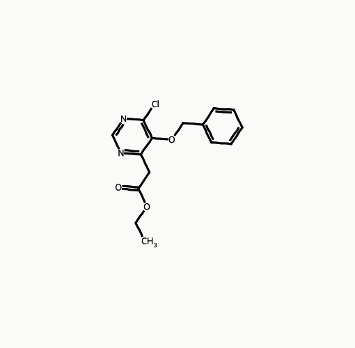 CCOC(=O)Cc1ncnc(Cl)c1OCc1ccccc1